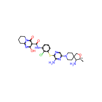 C[C@@H]1OCC2(CCN(c3cnc(Sc4cccc(NC(=O)c5c(O)nc6n(c5=O)CCCC6)c4Cl)c(N)n3)CC2)C1N